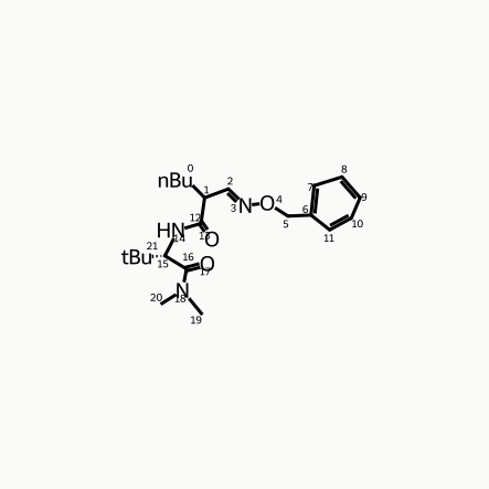 CCCCC(C=NOCc1ccccc1)C(=O)N[C@H](C(=O)N(C)C)C(C)(C)C